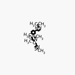 Cc1nc(COc2nc(C)n(-c3cc(-c4ccnc(C(C)C)n4)ccc3C)c(=O)c2C)cs1